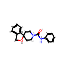 O=C(Nc1ccccc1)N1CCC2(CC1)OCc1ccccc12